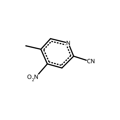 Cc1cnc(C#N)cc1[N+](=O)[O-]